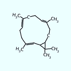 C/C1=C\CC/C(C)=C/C2C(CC/C(C)=C/CC1)C2(C)C